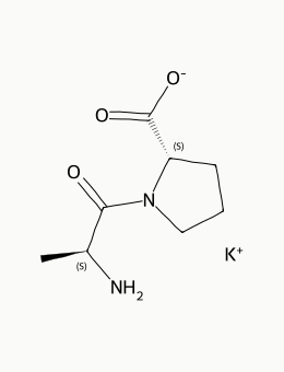 C[C@H](N)C(=O)N1CCC[C@H]1C(=O)[O-].[K+]